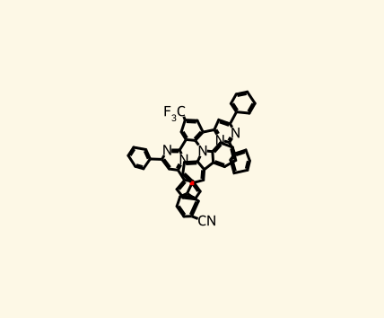 N#Cc1cccc(-c2ccc3c(c2)c2ccccc2n3-c2c(-c3cc(-c4ccccc4)nc(-c4ccccc4)n3)cc(C(F)(F)F)cc2-c2nc(-c3ccccc3)cc(-c3ccccc3)n2)c1